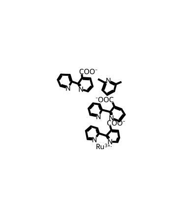 Cc1cccc(C)n1.O=C([O-])c1cccnc1-c1ccccn1.O=C([O-])c1cccnc1-c1ccccn1.O=C([O-])c1cccnc1-c1ccccn1.[Ru+3]